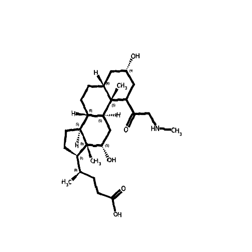 CNCC(=O)C1C[C@@H](O)C[C@H]2CC[C@@H]3[C@H](C[C@H](O)[C@]4(C)[C@@H]([C@H](C)CCC(=O)O)CC[C@@H]34)[C@@]12C